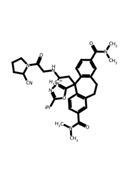 CC(C)c1nnc(C2(C[C@@H](C)NCC(=O)N3CCCC3C#N)c3ccc(C(=O)N(C)C)cc3CCc3cc(C(=O)N(C)C)ccc32)o1